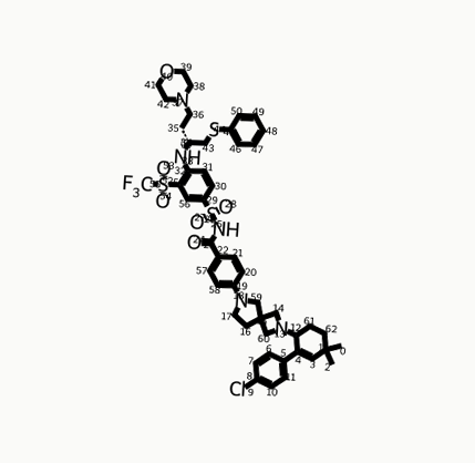 CC1(C)C=C(c2ccc(Cl)cc2)C(N2CC3(CCN(c4ccc(C(=O)NS(=O)(=O)c5ccc(N[C@H](CCN6CCOCC6)CSc6ccccc6)c(S(=O)(=O)C(F)(F)F)c5)cc4)C3)C2)CC1